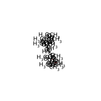 CC(=O)OC[C@H]1O[C@@H](Sc2ccc(NC(=O)C(=O)Nc3ccc(S[C@@H]4O[C@H](COC(C)=O)[C@@H](O[C@@H]5O[C@H](COC(C)=O)[C@@H](OC(C)=O)[C@H](OC(C)=O)[C@H]5OC(C)=O)[C@H](OC(C)=O)[C@H]4OC(C)=O)cc3)cc2)[C@H](OC(C)=O)[C@@H](OC(C)=O)[C@@H]1O[C@@H]1O[C@H](COC(C)=O)[C@@H](OC(C)=O)[C@H](OC(C)=O)[C@H]1OC(C)=O